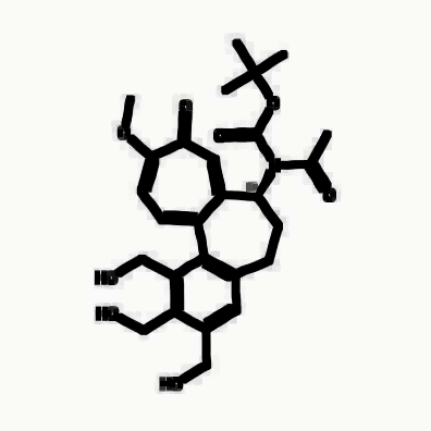 COc1ccc2c(cc1=O)[C@@H](N(C(C)=O)C(=O)OC(C)(C)C)CCc1cc(CO)c(CO)c(CO)c1-2